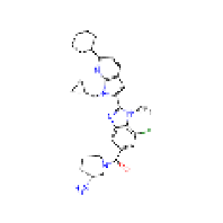 Cn1c(-c2cc3ccc(C4CCCCC4)nc3n2CC2CC2)nc2cc(C(=O)N3CCC[C@@H](N)C3)cc(F)c21